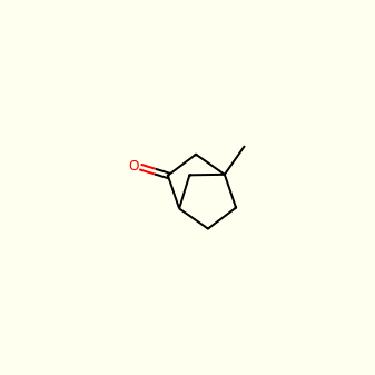 CC12CCC(C1)C(=O)C2